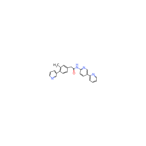 Cc1cc(CC(=O)Nc2ccc(-c3ccccn3)cn2)ccc1-c1cccnc1